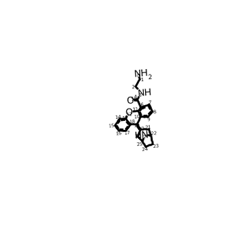 NCCNC(=O)c1cccc2c1Oc1ccccc1C2=C1CC2CCC(C1)N2